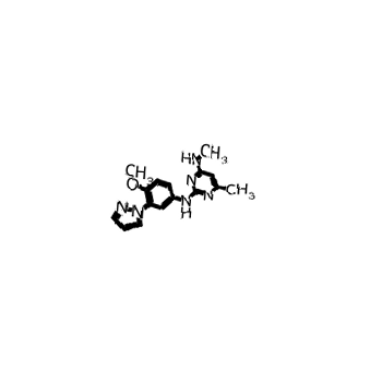 CNc1cc(C)nc(Nc2ccc(OC)c(-n3cccn3)c2)n1